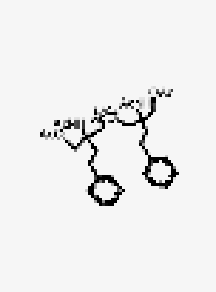 CC(=O)NC(CCc1ccccc1)(COC(C)=O)COC(C)=O.CC(=O)NC(CCc1ccccc1)(COC(C)=O)COC(C)=O